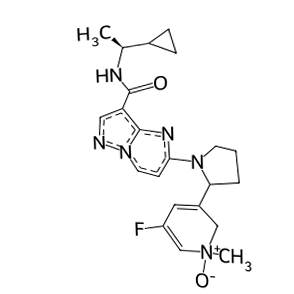 C[C@H](NC(=O)c1cnn2ccc(N3CCCC3C3=CC(F)=C[N+](C)([O-])C3)nc12)C1CC1